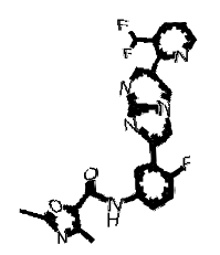 Cc1nc(C)c(C(=O)Nc2ccc(F)c(-c3cn4cc(-c5ncccc5C(F)F)cnc4n3)c2)o1